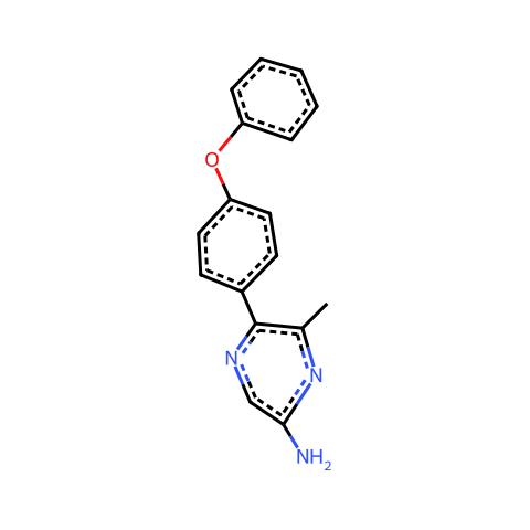 Cc1nc(N)cnc1-c1ccc(Oc2ccccc2)cc1